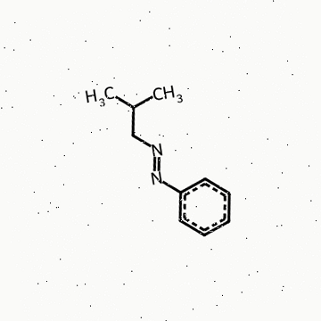 CC(C)CN=Nc1ccccc1